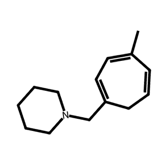 CC1=CC=C(CN2CCCCC2)CC=C1